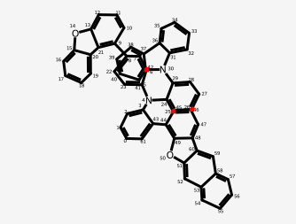 c1ccc(N(c2ccc(-c3cccc4oc5ccccc5c34)cc2)c2ccccc2-n2c3ccccc3c3ccccc32)c(-c2cccc3c2oc2cc4ccccc4cc23)c1